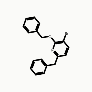 Brc1ccc(Cc2ccccc2)nc1OCc1ccccc1